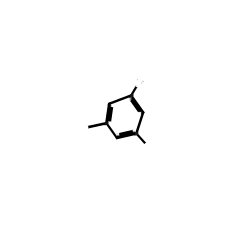 O=Nc1cc(C(F)(F)F)cc(C(F)(F)F)c1